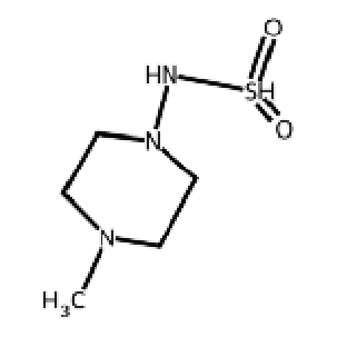 CN1CCN(N[SH](=O)=O)CC1